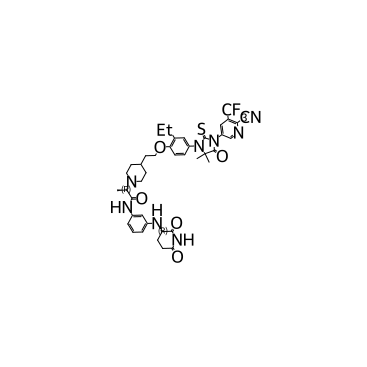 CCc1cc(N2C(=S)N(c3cnc(C#N)c(C(F)(F)F)c3)C(=O)C2(C)C)ccc1OCCC1CCN([C@H](C)C(=O)Nc2cccc(N[C@@H]3CCC(=O)NC3=O)c2)CC1